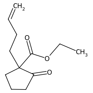 C=CCCC1(C(=O)OCC)CCCC1=O